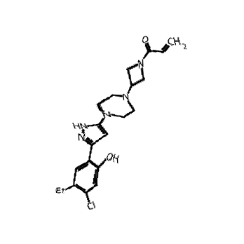 C=CC(=O)N1CC(N2CCN(c3cc(-c4cc(CC)c(Cl)cc4O)n[nH]3)CC2)C1